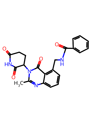 Cc1nc2cccc(CNC(=O)c3ccccc3)c2c(=O)n1C1CCC(=O)NC1=O